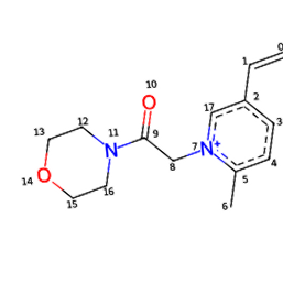 C=Cc1ccc(C)[n+](CC(=O)N2CCOCC2)c1